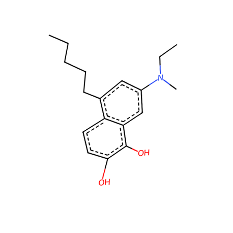 CCCCCc1cc(N(C)CC)cc2c(O)c(O)ccc12